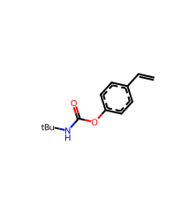 C=Cc1ccc(OC(=O)NC(C)(C)C)cc1